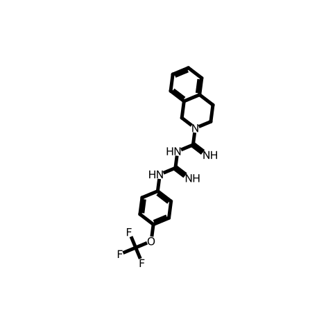 N=C(NC(=N)N1CCc2ccccc2C1)Nc1ccc(OC(F)(F)F)cc1